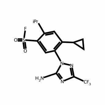 CC(C)c1cc(C2CC2)c(-n2nc(C(F)(F)F)nc2N)cc1S(=O)(=O)F